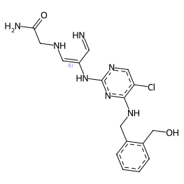 N=C/C(=C\NCC(N)=O)Nc1ncc(Cl)c(NCc2ccccc2CO)n1